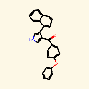 O=C(c1ccc(Oc2ccccc2)cc1)c1c[nH]cc1-c1cccc2ccccc12